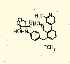 CC[C@H](c1ccc(NC(C)(CCl)C(=O)O)cc1)c1cccc(-c2ccnc(C)c2)c1/C=N/O